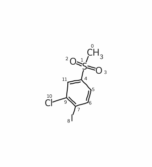 CS(=O)(=O)c1ccc(I)c(Cl)c1